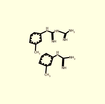 Cc1cccc(NC(=N)N)c1.Cc1cccc(NC(=N)NC(=N)N)c1